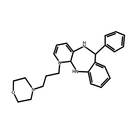 C1=CN(CCCN2CCOCC2)C2Nc3ccccc3C(c3ccccc3)NC2=C1